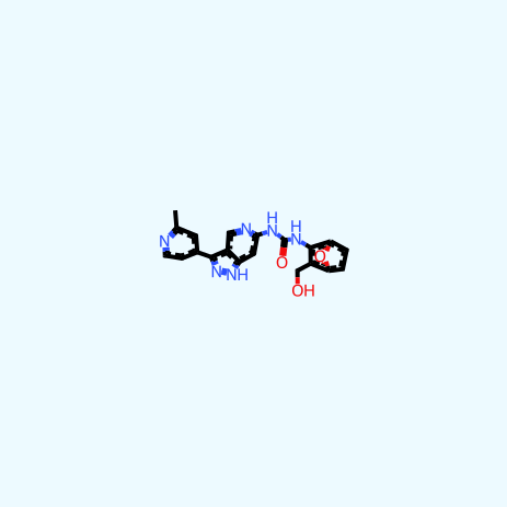 Cc1cc(-c2n[nH]c3cc(NC(=O)Nc4c(CO)c5ccc4o5)ncc23)ccn1